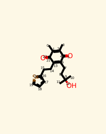 CC1=C(C)C(=O)C(CCC(C)(C)O)=C(CCc2cccs2)C1=O